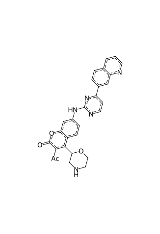 CC(=O)c1c(C2CNCCO2)c2ccc(Nc3nccc(-c4ccc5cccnc5c4)n3)cc2oc1=O